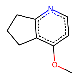 COc1ccnc2c1CCC2